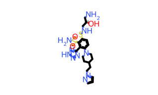 NC[C@@H](O)CNSc1ccc(N2CCC(CCn3cccn3)CC2)c(-c2nn[nH]n2)c1S(N)(=O)=O